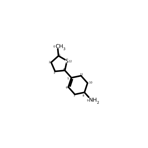 CC1CCC(C2=CCC(N)CC2)S1